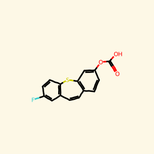 O=C(O)Oc1ccc2c(c1)Sc1ccc(F)cc1C=C2